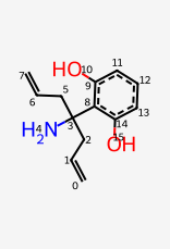 C=CCC(N)(CC=C)c1c(O)cccc1O